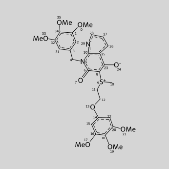 COc1cc(Cn2c(=O)c([S+](C)CCOc3cc(OC)c(OC)c(OC)c3)c([O-])c3cccnc32)cc(OC)c1OC